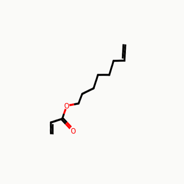 C=CCCCCCCOC(=O)C=C